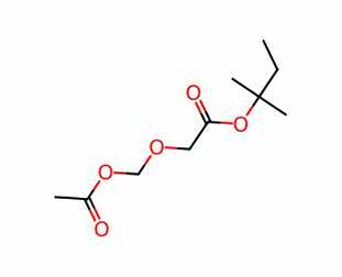 CCC(C)(C)OC(=O)COCOC(C)=O